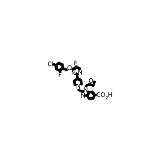 O=C(O)c1ccc2nc(CN3CC=C(c4ncc(F)c(OCc5ccc(Cl)cc5F)n4)CC3)n(CC3CCO3)c2c1